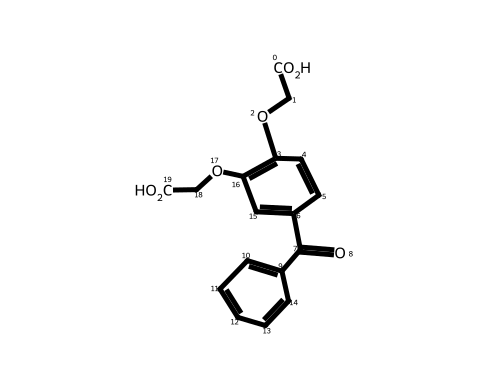 O=C(O)COc1ccc(C(=O)c2ccccc2)cc1OCC(=O)O